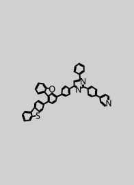 c1ccc(-c2cc(-c3ccc(-c4ccc(-c5ccc6c(c5)sc5ccccc56)c5c4oc4ccccc45)cc3)nc(-c3ccc(-c4ccncc4)cc3)n2)cc1